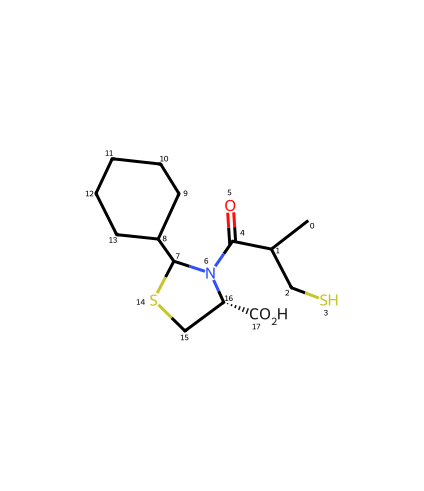 CC(CS)C(=O)N1C(C2CCCCC2)SC[C@H]1C(=O)O